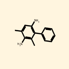 Cc1cc(N)c(-c2ccccc2)c(C)c1N